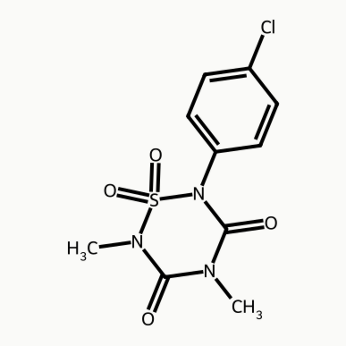 CN1C(=O)N(C)S(=O)(=O)N(c2ccc(Cl)cc2)C1=O